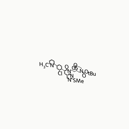 CSc1ncc2cc(-c3ccc(-c4cccc(C)n4)cc3Cl)c(=O)n(CCC3CN(C(=O)OC(C)(C)C)CCS3(=O)=O)c2n1